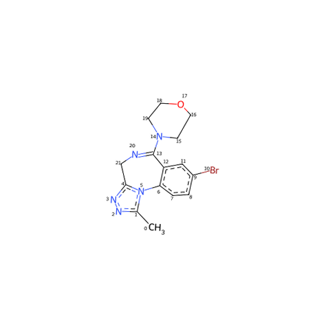 Cc1nnc2n1-c1ccc(Br)cc1C(N1CCOCC1)=NC2